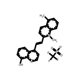 Cc1cccc2c1ccc(C=Cc1ccnc3c(O)cccc13)[n+]2C.O=S(=O)([O-])C(F)(F)F